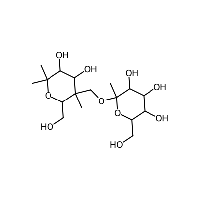 CC1(C)OC(CO)C(C)(COC2(C)OC(CO)C(O)C(O)C2O)C(O)C1O